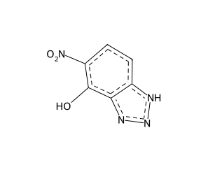 O=[N+]([O-])c1ccc2[nH]nnc2c1O